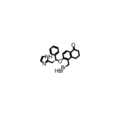 Br.O=C1CCCc2c1ccc(O[C@@H](Cc1ncc[nH]1)c1ccccc1)c2CBr